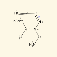 C#C/C=N\N(CN)C(CC)CCCCC